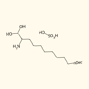 CCCCCCCCCCCCCCCCCCC(N)C(O)O.O=S(=O)(O)O